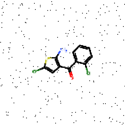 Nc1sc(Cl)cc1C(=O)c1ccccc1Cl